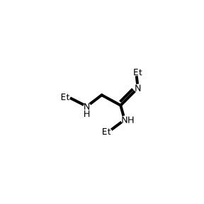 CC/N=C(\CNCC)NCC